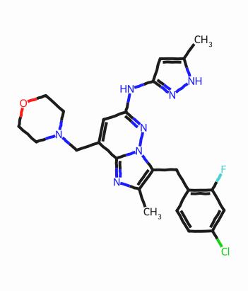 Cc1cc(Nc2cc(CN3CCOCC3)c3nc(C)c(Cc4ccc(Cl)cc4F)n3n2)n[nH]1